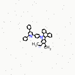 C=Cc1cc2c3c4ccccc4c4ccccc4c3n(-c3ccc(-c4cc(-c5ccccc5)cc(-c5ccccc5)n4)cc3)c2cc1/C=C\C